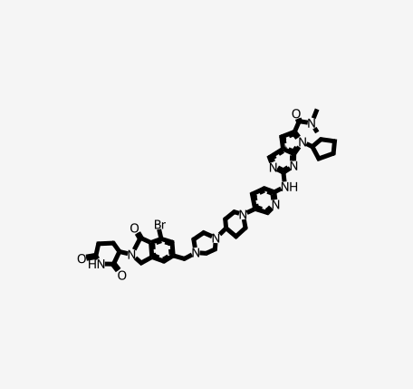 CN(C)C(=O)c1cc2cnc(Nc3ccc(N4CCC(N5CCN(Cc6cc(Br)c7c(c6)CN(C6CCC(=O)NC6=O)C7=O)CC5)CC4)cn3)nc2n1C1CCCC1